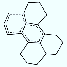 c1cc2c3c(c4c5c(c3c1)CCCC5CCC4)CCC2